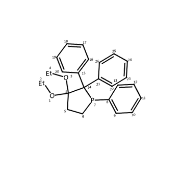 CCOC1(OCC)CCP(c2ccccc2)C1(c1ccccc1)c1ccccc1